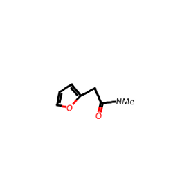 CNC(=O)Cc1ccco1